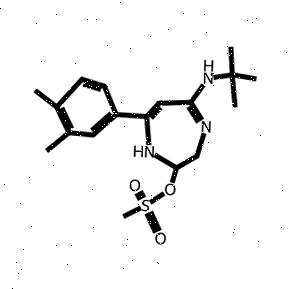 Cc1ccc(C2=CC(NC(C)(C)C)=NCC(OS(C)(=O)=O)N2)cc1C